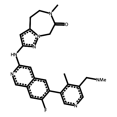 CNCc1cncc(-c2cc3cc(Nc4cc5n(n4)CC(=O)N(C)CC5)ncc3cc2F)c1C